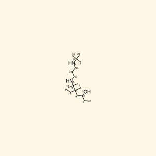 CCC(O)CC(C)(CC)C(C)(C)NCCCNC(C)(C)C